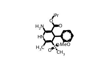 COc1ccccc1C1C(C(=O)OC(C)C)=C(N)NC(C)=C1S(C)(=O)=O